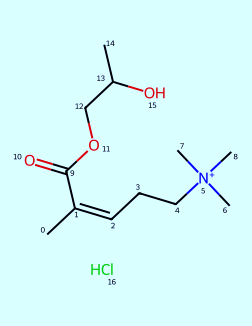 CC(=CCC[N+](C)(C)C)C(=O)OCC(C)O.Cl